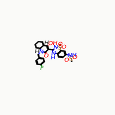 CS(=O)(=O)Nc1ccc2c(c1)S(=O)(=O)N=C(C1=C(O)[C@H]3CCCC[C@H]3N(Cc3ccc(F)cc3)C1=O)N2